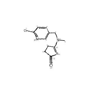 CN(Cc1ccc(Cl)nc1)C1=NC(=O)CC1